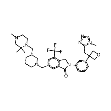 CN1CCN(CC2CCCN(Cc3cc4c(c(C(F)(F)F)c3)CN(c3cccc(C5(Cc6nncn6C)COC5)c3)C4=O)C2)C(C)(C)C1